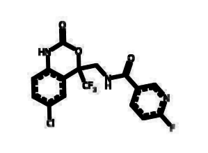 O=C1Nc2ccc(Cl)cc2C(CNC(=O)c2ccc(F)nc2)(C(F)(F)F)O1